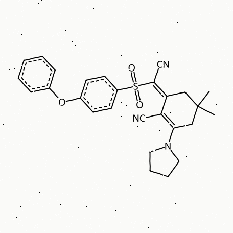 CC1(C)CC(N2CCCC2)=C(C#N)/C(=C(/C#N)S(=O)(=O)c2ccc(Oc3ccccc3)cc2)C1